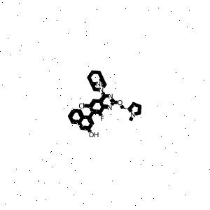 CN1CCC[C@H]1COc1nc(N2CC3CCCC(C2)N3)c2cc(Cl)c(-c3cc(O)cc4ccccc34)c(F)c2n1